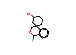 OC1CCCC2(COC(F)c3ccccc32)C1